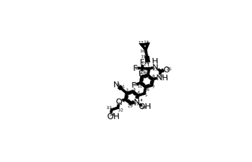 N#Cc1cc(Cc2cc3c(cc2F)[C@@](C#CC2CC2)(C(F)(F)F)NC(=O)N3)[n+](O)cc1OCCO